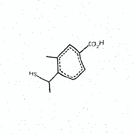 Cc1cc(C(=O)O)ccc1C(C)S